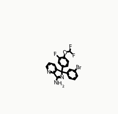 NC1=NC(c2cccc(Br)c2)(c2ccc(OC(F)F)c(F)c2)c2cccnc21